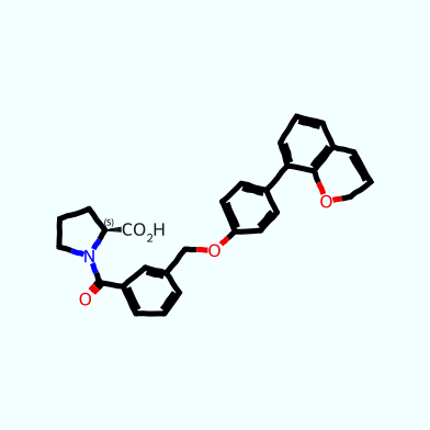 O=C(O)[C@@H]1CCCN1C(=O)c1cccc(COc2ccc(-c3cccc4c3OCC=C4)cc2)c1